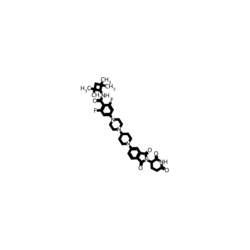 CC1(C)CC(C)(C)C1NC(=O)c1c(F)cc(N2CCN(C3CCN(c4ccc5c(c4)C(=O)N(C4CCC(=O)NC4=O)C5=O)CC3)CC2)cc1F